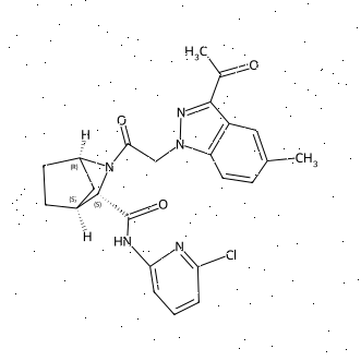 CC(=O)c1nn(CC(=O)N2[C@@H]3CC[C@@H](C3)[C@H]2C(=O)Nc2cccc(Cl)n2)c2ccc(C)cc12